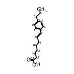 CCCc1ccc(C=CCCCCCC(=O)O)cc1